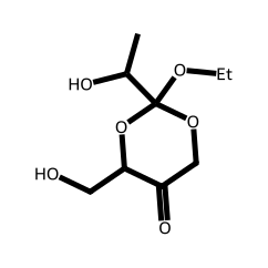 CCOC1(C(C)O)OCC(=O)C(CO)O1